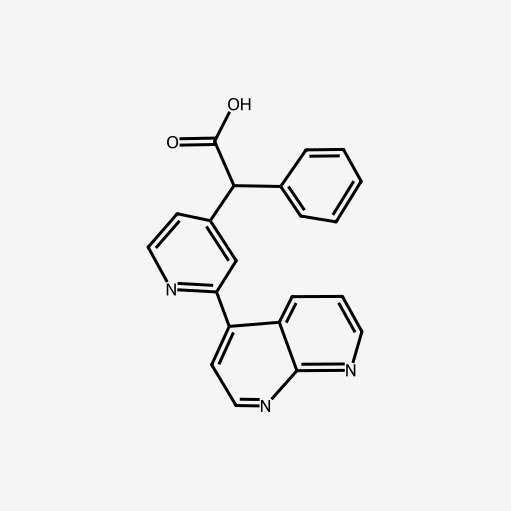 O=C(O)C(c1ccccc1)c1ccnc(-c2ccnc3ncccc23)c1